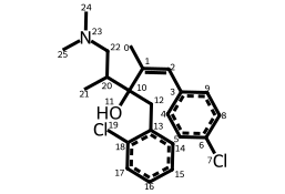 C/C(=C/c1ccc(Cl)cc1)C(O)(Cc1ccccc1Cl)C(C)CN(C)C